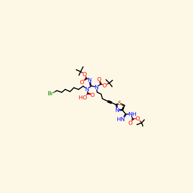 CC(C)(C)OC(=O)N=C(N(CCCCCCCBr)C(=O)O)N(CCCC#Cc1nc(C(=N)NC(=O)OC(C)(C)C)cs1)C(=O)OC(C)(C)C